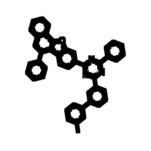 Cc1cccc(-c2cccc(-c3nc(-c4ccccc4)nc(-c4ccc5c(c4)oc4c6ccccc6cc(-c6ccccc6)c54)n3)c2)c1